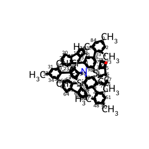 Cc1cc(C)c(-c2cc3c4c(c2)[Si]2(c5ccccc5-c5ccccc52)c2cc(-c5c(C)cc(C)cc5C)cc5c2N4c2c(cc(-c4c(C)cc(C)cc4C)cc2[Si]52c4ccccc4-c4ccccc42)[Si]32c3ccccc3-c3ccccc32)c(C)c1